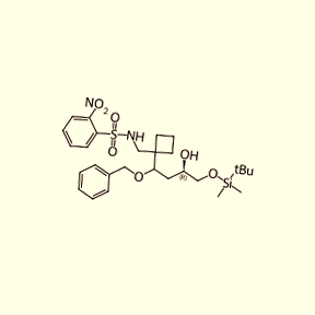 CC(C)(C)[Si](C)(C)OC[C@H](O)CC(OCc1ccccc1)C1(CNS(=O)(=O)c2ccccc2[N+](=O)[O-])CCC1